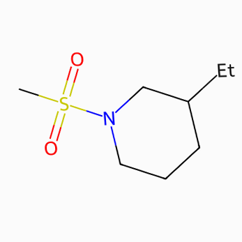 CCC1CCCN(S(C)(=O)=O)C1